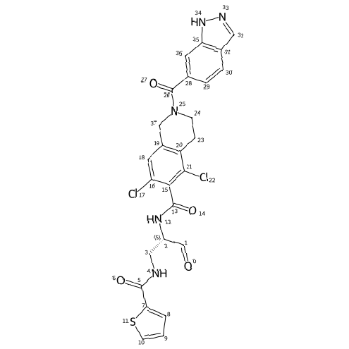 O=C[C@H](CNC(=O)c1cccs1)NC(=O)c1c(Cl)cc2c(c1Cl)CCN(C(=O)c1ccc3cn[nH]c3c1)C2